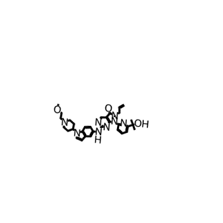 C=CCn1c(=O)c2cnc(Nc3ccc4c(ccn4C4CCN(CCOC)CC4)c3)nc2n1-c1cccc(C(C)(C)O)n1